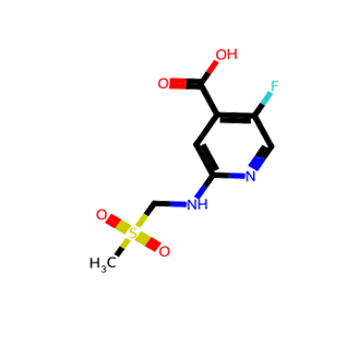 CS(=O)(=O)CNc1cc(C(=O)O)c(F)cn1